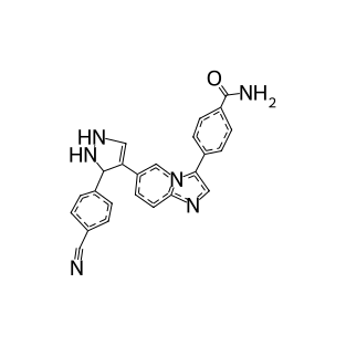 N#Cc1ccc(C2NNC=C2c2ccc3ncc(-c4ccc(C(N)=O)cc4)n3c2)cc1